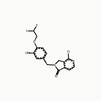 O=C1c2ccnc(Cl)c2CN1Cc1ccc(OCC(F)F)c(Cl)c1